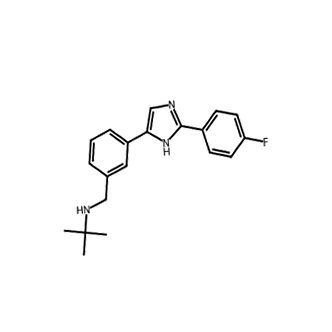 CC(C)(C)NCc1cccc(-c2cnc(-c3ccc(F)cc3)[nH]2)c1